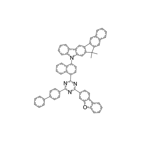 CC1(C)c2cc3ccccc3cc2-c2cc3c4ccccc4n(-c4ccc(-c5nc(-c6ccc(-c7ccccc7)cc6)nc(-c6ccc7c(c6)oc6ccccc67)n5)c5ccccc45)c3cc21